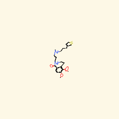 COc1ccc2c(c1OC)CCN(CCCN(C)CCCc1ccsc1)C2=O